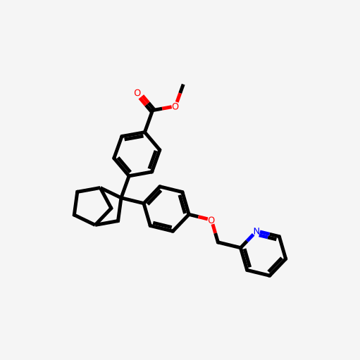 COC(=O)c1ccc(C2(c3ccc(OCc4ccccn4)cc3)CC3CCC2C3)cc1